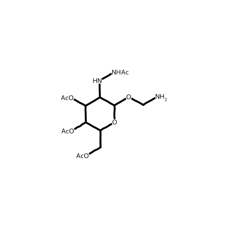 CC(=O)NNC1C(OCN)OC(COC(C)=O)C(OC(C)=O)C1OC(C)=O